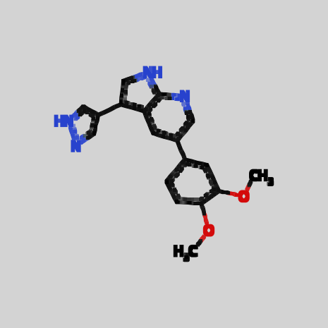 COc1ccc(-c2cnc3[nH]cc(-c4cn[nH]c4)c3c2)cc1OC